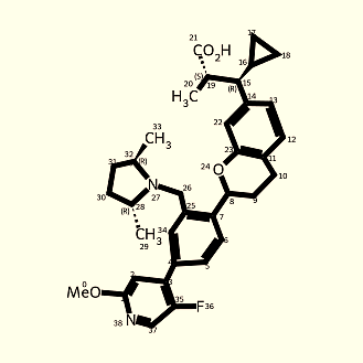 COc1cc(-c2ccc(C3CCc4ccc([C@H](C5CC5)[C@H](C)C(=O)O)cc4O3)c(CN3[C@H](C)CC[C@H]3C)c2)c(F)cn1